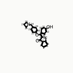 O=C(c1ccccc1F)c1sc2cc(O)ccc2c1Oc1ccc(CN2CCC2)cc1